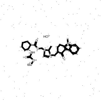 CC1N(COC(=O)[C@@H]2CCCC[C@H]2NC(=O)OC(C)(C)C)C=CN1CC1CCc2c(c3ccccc3n2C)C1=O.Cl